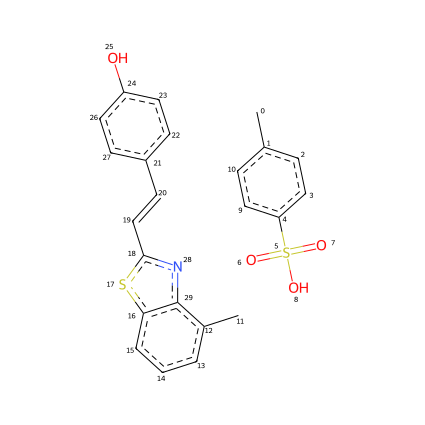 Cc1ccc(S(=O)(=O)O)cc1.Cc1cccc2sc(C=Cc3ccc(O)cc3)nc12